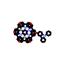 c1ccc(-n2c3ccccc3c3cc(-c4ccc5c(c4)c4ccccc4n5-c4c(-n5c6ccccc6c6ccccc65)c(B5c6ccccc6-c6ccccc65)c(-n5c6ccccc6c6ccccc65)c(B5c6ccccc6-c6ccccc65)c4-n4c5ccccc5c5ccccc54)ccc32)cc1